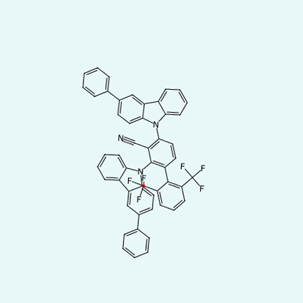 N#Cc1c(-n2c3ccccc3c3cc(-c4ccccc4)ccc32)ccc(-c2c(C(F)(F)F)cccc2C(F)(F)F)c1-n1c2ccccc2c2cc(-c3ccccc3)ccc21